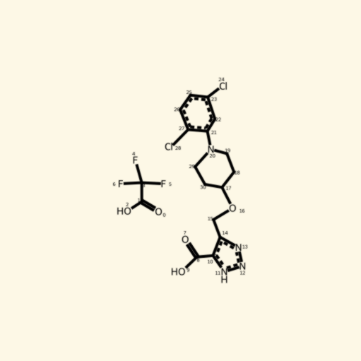 O=C(O)C(F)(F)F.O=C(O)c1[nH]nnc1COC1CCN(c2cc(Cl)ccc2Cl)CC1